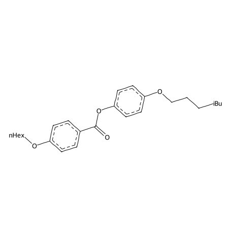 CCCCCCOc1ccc(C(=O)Oc2ccc(OCCCC(C)CC)cc2)cc1